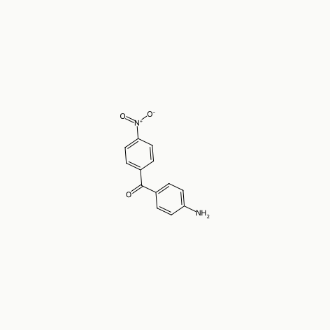 Nc1ccc(C(=O)c2ccc([N+](=O)[O-])cc2)cc1